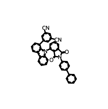 N#Cc1cc(C#N)cc(-c2cccc3c4ccccc4n(-c4cccc5c4C(=O)N(c4ccc(-c6ccccc6)cc4)C5=O)c23)c1